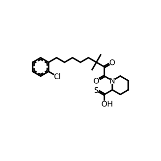 CC(C)(CCCCCc1ccccc1Cl)C(=O)C(=O)N1CCCCC1C(O)=S